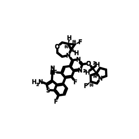 [2H]C([2H])(Oc1nc(N2CCOC[C@H]3[C@H](F)[C@H]32)c2cc(F)c(-c3ccc(F)c4sc(N)c(C#N)c34)c(F)c2n1)[C@@]12CCCN1C[C@H](F)C2